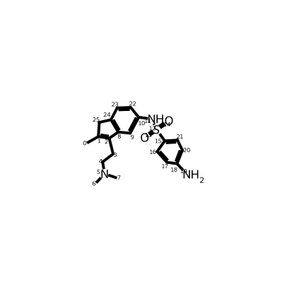 CC1=C(CCN(C)C)c2cc(NS(=O)(=O)c3ccc(N)cc3)ccc2C1